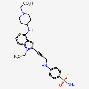 NS(=O)(=O)c1ccc(NCC#Cc2cc3c(NC4CCN(CC(=O)O)CC4)cccc3n2CC(F)(F)F)cc1